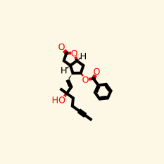 CC#CCCC(C)(O)/C=C/[C@@H]1[C@H]2CC(=O)O[C@H]2C[C@H]1OC(=O)c1ccccc1